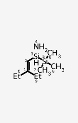 CCC(=C[SiH](N)[Si](C)(C)C)CC